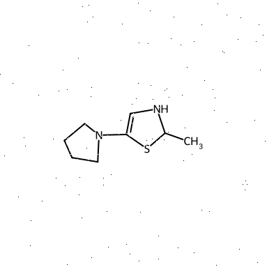 CC1NC=C(N2CCCC2)S1